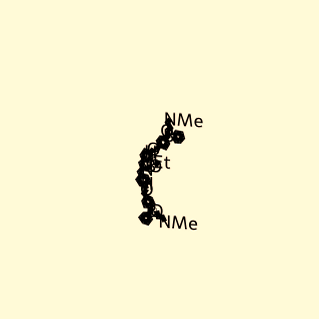 CCOBNC(Cc1ccc(OCc2ccc(B(OCCNC)c3ccccc3)cc2)cc1)Cc1ccc(OCc2ccc(B(OCCNC)c3ccccc3)cc2)cc1